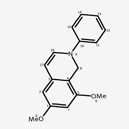 COc1cc2c(c(OC)c1)CN(c1ccccc1)C=C2